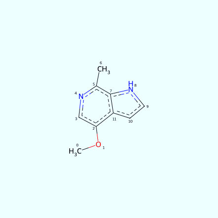 COc1cnc(C)c2[nH]ccc12